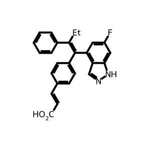 CC/C(=C(/c1ccc(/C=C/C(=O)O)cc1)c1cc(F)cc2[nH]ncc12)c1ccccc1